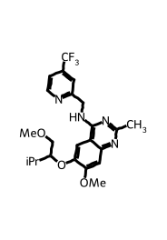 COCC(Oc1cc2c(NCc3cc(C(F)(F)F)ccn3)nc(C)nc2cc1OC)C(C)C